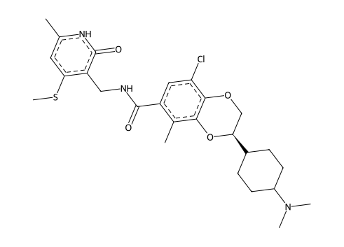 CSc1cc(C)[nH]c(=O)c1CNC(=O)c1cc(Cl)c2c(c1C)O[C@H](C1CCC(N(C)C)CC1)CO2